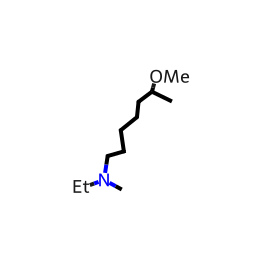 CCN(C)CCCCCC(C)OC